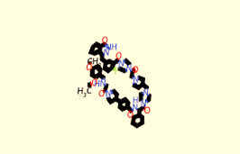 CCOc1cc(OC)ccc1CNCC(=O)N1CCC(c2ccc(C(=O)N[C@@H](C(=O)N3CCN(CC4CCN(CC(=O)N5CCN(C(=O)c6cc(Cc7n[nH]c(=O)c8ccccc78)ccc6F)CC5)CC4)CC3)C3CCCCC3)cc2)CC1